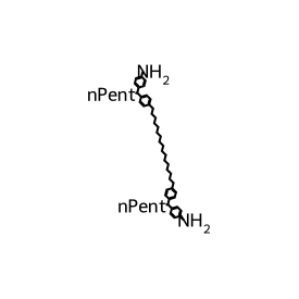 CCCCCC(c1ccc(N)cc1)c1ccc(CCCCCCCCCCCCCCCCCc2ccc(C(CCCCC)c3ccc(N)cc3)cc2)cc1